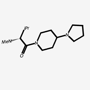 CN[C@@H](C(=O)N1CCC(N2CCCC2)CC1)C(C)C